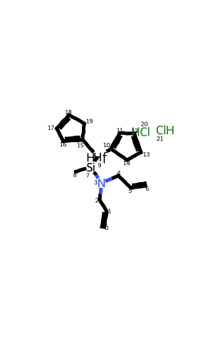 C=CCN(CC=C)[SiH](C)[Hf]([C]1=CC=CC1)[C]1=CC=CC1.Cl.Cl